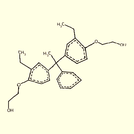 CCc1cc(C(C)(c2ccccc2)c2ccc(OCCO)c(CC)c2)ccc1OCCO